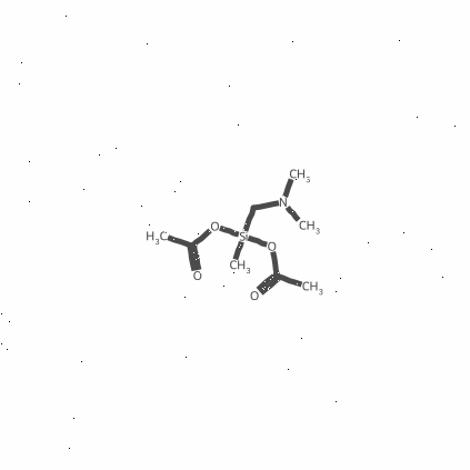 CC(=O)O[Si](C)(CN(C)C)OC(C)=O